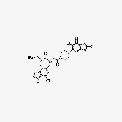 CC(C)(C)CN1Cc2c(cc(Cl)c3[nH]ncc23)C[C@@H](CC(=O)N2CCC(c3cc4sc(Cl)cc4[nH]c3=O)CC2)C1=O